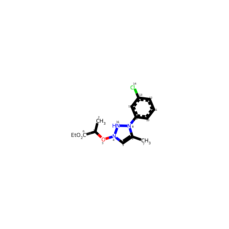 CCOC(=O)C(C)ON1C=C(C)N(c2cccc(Cl)c2)N1